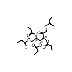 CCC(=O)OCC(=O)[C@@H](OC(=O)CC)[C@H](OC(=O)CC)[C@@H](COC(=O)CC)OC(=O)CC